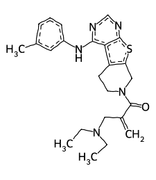 C=C(CN(CC)CC)C(=O)N1CCc2c(sc3ncnc(Nc4cccc(C)c4)c23)C1